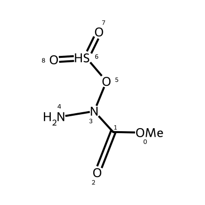 COC(=O)N(N)O[SH](=O)=O